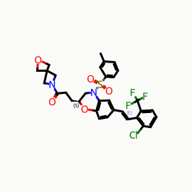 Cc1cccc(S(=O)(=O)N2C[C@H](CCC(=O)N3CC4(COC4)C3)Oc3ccc(/C=C/c4c(Cl)cccc4C(F)(F)F)cc32)c1